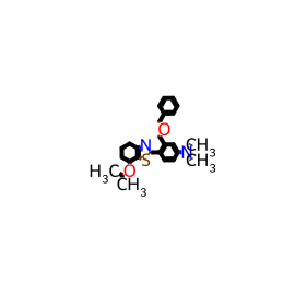 CC(C)OC1CCCc2nc(-c3ccc(N(C)C)cc3COCc3ccccc3)sc21